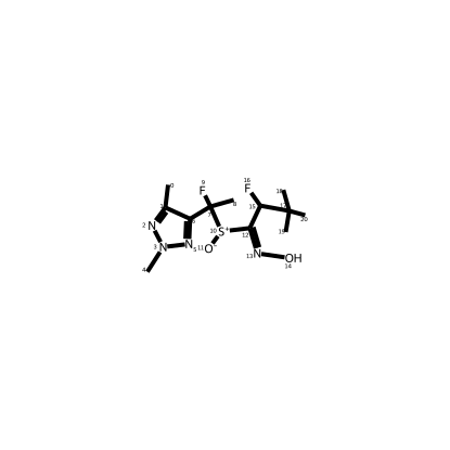 Cc1nn(C)nc1C(C)(F)[S+]([O-])/C(=N/O)C(F)C(C)(C)C